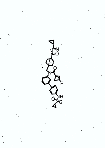 O=C(N(CC12CCC(c3nc(C4CC4)no3)(CC1)CC2)c1cccc(-c2ccc(NS(=O)(=O)C3CC3)cc2)c1)C12CC(F)(C1)C2